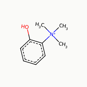 C[N+](C)(C)c1ccccc1O